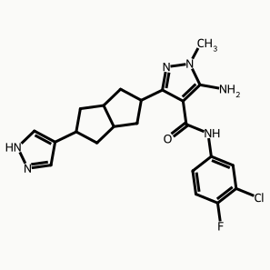 Cn1nc(C2CC3CC(c4cn[nH]c4)CC3C2)c(C(=O)Nc2ccc(F)c(Cl)c2)c1N